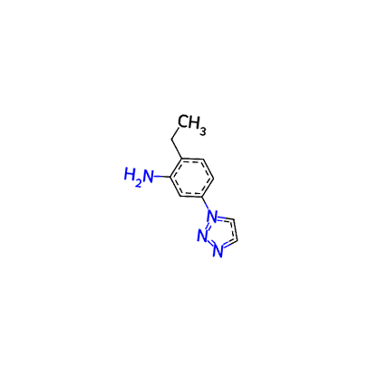 CCc1ccc(-n2ccnn2)cc1N